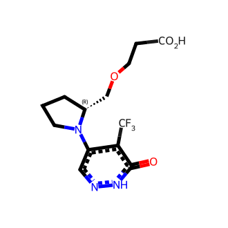 O=C(O)CCOC[C@H]1CCCN1c1cn[nH]c(=O)c1C(F)(F)F